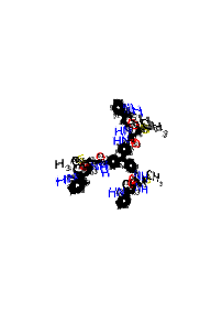 CSCC[C@H](NC(=O)Cc1c(C)[nH]c2ccccc12)C(=O)Nc1ccc(C(c2ccc(NC(=O)[C@H](CCSC)NC(=O)Cc3c(C)[nH]c4ccccc34)cc2)c2ccc(NC(=O)[C@H](CCSC)NC(=O)Cc3c(C)[nH]c4ccccc34)cc2)cc1